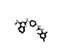 Cc1cc(C)c(NC(=O)N[C@H]2CC[C@@H](Nc3nc(N(C)C)c4ccccc4n3)CC2)c(C)c1